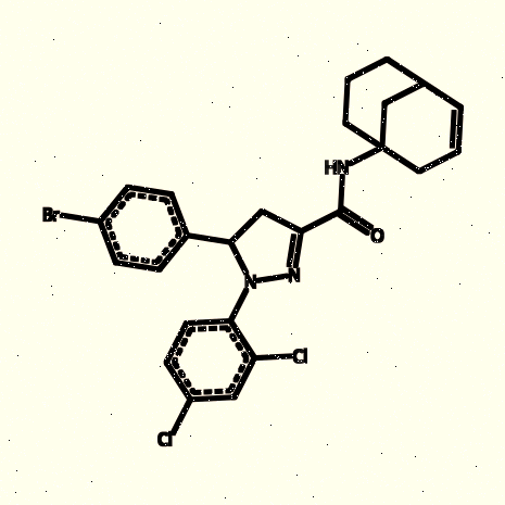 O=C(NC12CC=CC(CCC1)C2)C1=NN(c2ccc(Cl)cc2Cl)C(c2ccc(Br)cc2)C1